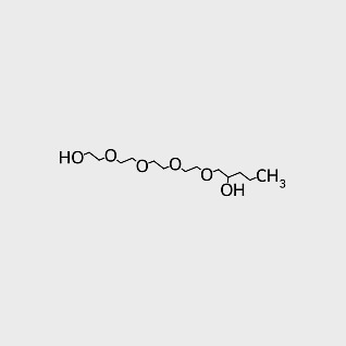 CCCC(O)COCCOCCOCCOCCO